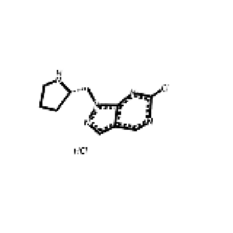 Cl.Clc1ncc2cnn(C[C@@H]3CCCN3)c2n1